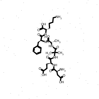 C[C@H](NC(=O)C(C)(C)NC(=O)[C@H](CCC(=O)O)NC(=O)[C@@H](N)CC(=O)O)C(=O)N[C@@H](Cc1ccccc1)C(=O)N[C@@H](CCCCN)C(=O)O